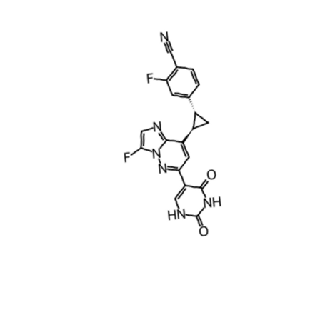 N#Cc1ccc([C@@H]2C[C@H]2c2cc(-c3c[nH]c(=O)[nH]c3=O)nn3c(F)cnc23)cc1F